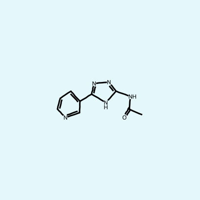 CC(=O)Nc1nnc(-c2cccnc2)[nH]1